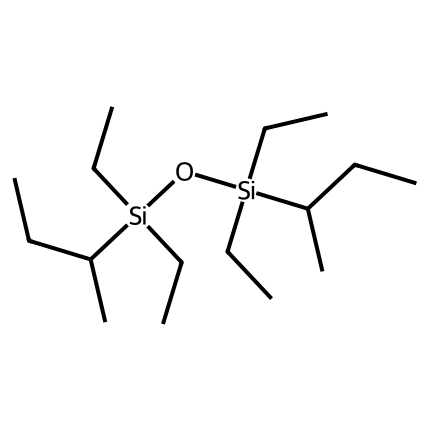 CCC(C)[Si](CC)(CC)O[Si](CC)(CC)C(C)CC